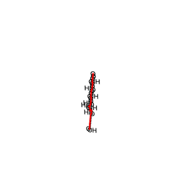 O=CCOCCOCCNC(=O)COCCOCCNC(=O)COCCOCCNC(=O)COCCOCCNC(=O)CC[C@H](NC(=O)[C@H]1CC[C@H](CNC(=O)CCCCCCCCCCCCCCCCCCC(=O)O)CC1)C(=O)O